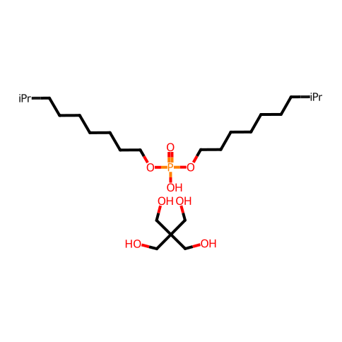 CC(C)CCCCCCCOP(=O)(O)OCCCCCCCC(C)C.OCC(CO)(CO)CO